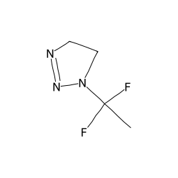 CC(F)(F)N1CCN=N1